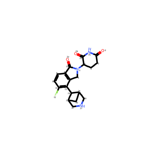 O=C1CCC(N2Cc3c(ccc(F)c3C3C4CNCC3C4)C2=O)C(=O)N1